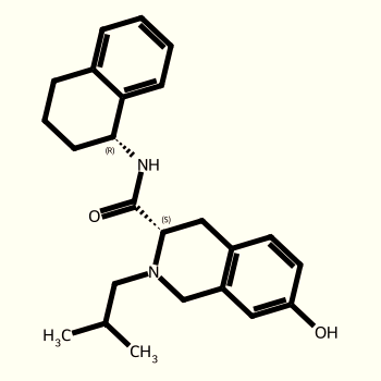 C[C](C)CN1Cc2cc(O)ccc2C[C@H]1C(=O)N[C@@H]1CCCc2ccccc21